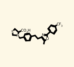 Cc1oc(-c2ccc(C(F)(F)F)cc2)nc1CCc1ccc(CN2CSCC2C(=O)O)cc1